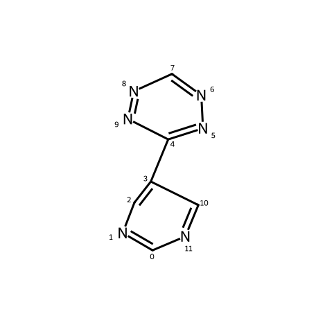 c1ncc(-c2nncnn2)cn1